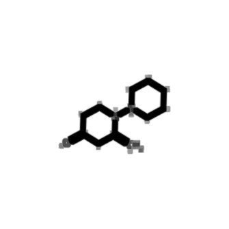 C=C1CC(=O)CCN1N1CCCCC1